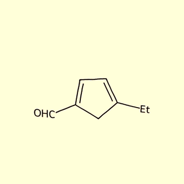 CCC1=CC=C(C=O)C1